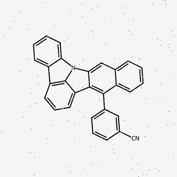 N#Cc1cccc(-c2c3ccccc3cc3c2c2cccc4c5ccccc5n3c42)c1